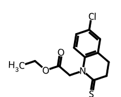 CCOC(=O)CN1C(=S)CCc2cc(Cl)ccc21